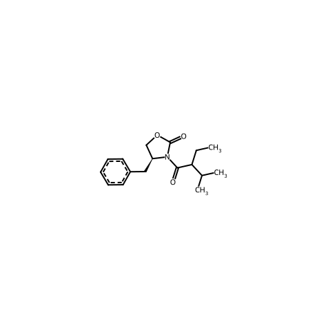 CCC(C(=O)N1C(=O)OC[C@@H]1Cc1ccccc1)C(C)C